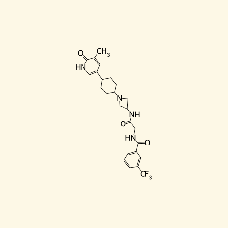 Cc1cc(C2CCC(N3CC(NC(=O)CNC(=O)c4cccc(C(F)(F)F)c4)C3)CC2)c[nH]c1=O